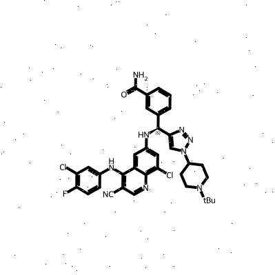 CC(C)(C)N1CCC(n2cc([C@@H](Nc3cc(Cl)c4ncc(C#N)c(Nc5ccc(F)c(Cl)c5)c4c3)c3cccc(C(N)=O)c3)nn2)CC1